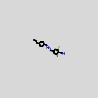 CCCc1ccc(C=NN=Cc2cc(F)c(C#N)c(F)c2)cc1